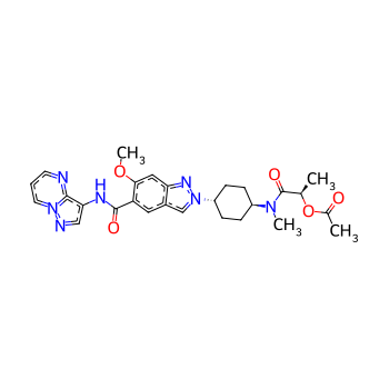 COc1cc2nn([C@H]3CC[C@H](N(C)C(=O)[C@@H](C)OC(C)=O)CC3)cc2cc1C(=O)Nc1cnn2cccnc12